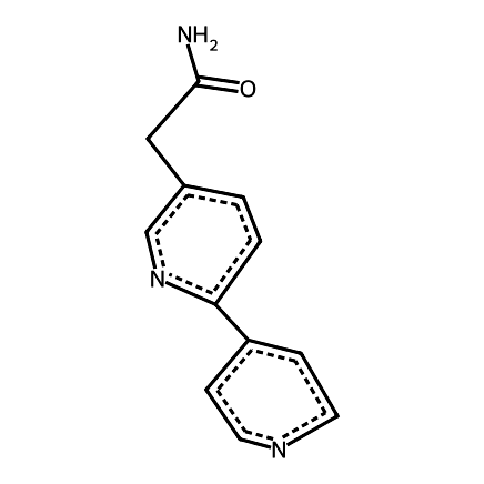 NC(=O)Cc1ccc(-c2ccncc2)nc1